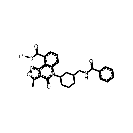 Cc1onc2c1c(=O)n(C1CCCC(CNC(=O)c3ccccc3)C1)c1cccc(C(=O)OC(C)C)c21